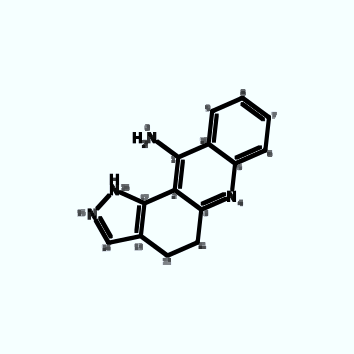 Nc1c2c(nc3ccccc13)CCc1cn[nH]c1-2